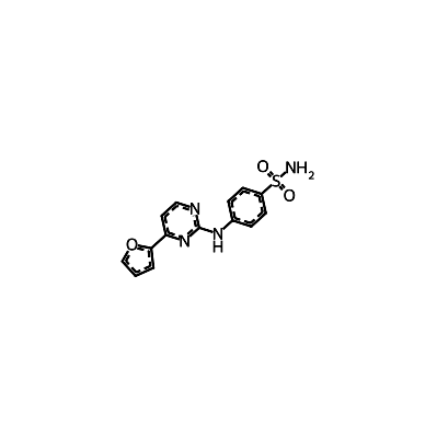 NS(=O)(=O)c1ccc(Nc2nccc(-c3ccco3)n2)cc1